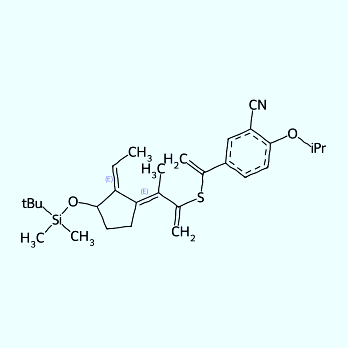 C=C(SC(=C)c1ccc(OC(C)C)c(C#N)c1)/C(C)=C1\CCC(O[Si](C)(C)C(C)(C)C)\C1=C\C